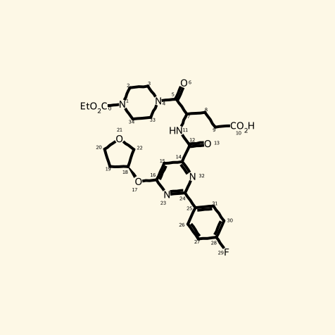 CCOC(=O)N1CCN(C(=O)C(CCC(=O)O)NC(=O)c2cc(O[C@H]3CCOC3)nc(-c3ccc(F)cc3)n2)CC1